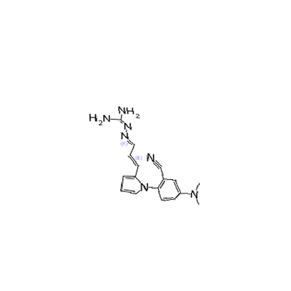 CN(C)c1ccc(-n2cccc2/C=C/C=N/N=C(N)N)c(C#N)c1